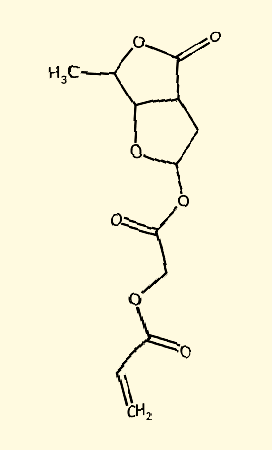 C=CC(=O)OCC(=O)OC1CC2C(=O)OC(C)C2O1